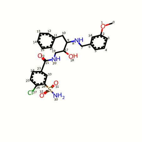 COc1cccc(CNC(Cc2ccccc2)C(O)CNC(=O)c2ccc(Cl)c(S(N)(=O)=O)c2)c1